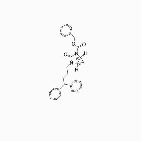 O=C(OCc1ccccc1)N1C(=O)N(CCCC(c2ccccc2)c2ccccc2)[C@H]2C[C@H]21